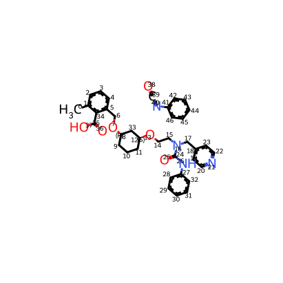 Cc1cccc(CO[C@@H]2CCC[C@H](OCCN(Cc3ccncc3)C(=O)Nc3ccccc3)C2)c1C(=O)O.O=C=Nc1ccccc1